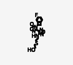 O=c1onc(-c2nonc2NCCSCCO)n1C1Cc2ccc(F)cc21